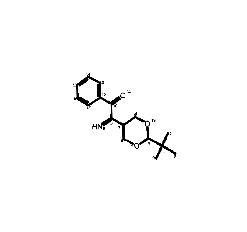 CC(C)(C)C1OCC(C(=N)C(=O)c2ccccc2)CO1